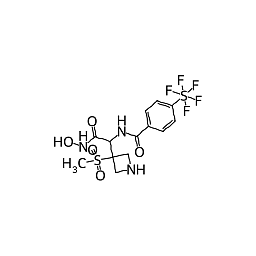 CS(=O)(=O)C1(C(NC(=O)c2ccc(S(F)(F)(F)(F)F)cc2)C(=O)NO)CNC1